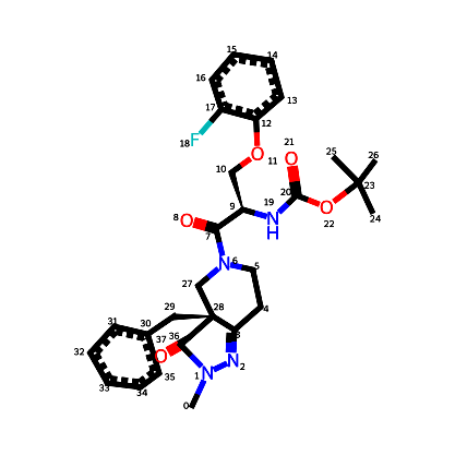 CN1N=C2CCN(C(=O)[C@@H](COc3ccccc3F)NC(=O)OC(C)(C)C)C[C@@]2(Cc2ccccc2)C1=O